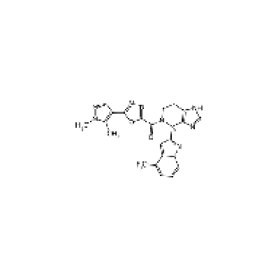 Cc1c(-c2nnc(C(=O)N3CCc4[nH]cnc4[C@H]3c3cc4c(C(F)(F)F)cccn4n3)o2)cnn1C